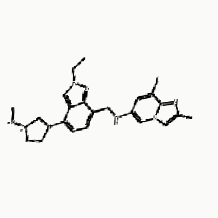 CCn1cc2c(N3CC[C@@H](NC)C3)ccc(CNc3cc(F)c4nc(C)cn4c3)c2n1